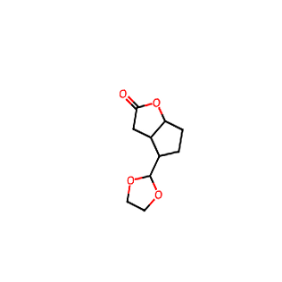 O=C1CC2C(CCC2C2OCCO2)O1